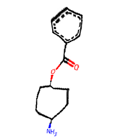 N[C@H]1CC[C@@H](OC(=O)c2ccccc2)CC1